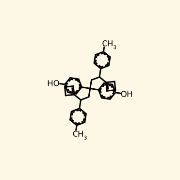 Cc1ccc(C(CC(CC(C2=CCC2)c2ccc(C)cc2)(c2ccc(O)cc2)c2ccc(O)cc2)C2=CCC2)cc1